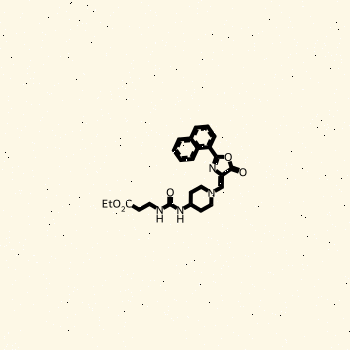 CCOC(=O)CCNC(=O)NC1CCN(C=C2N=C(c3cccc4ccccc34)OC2=O)CC1